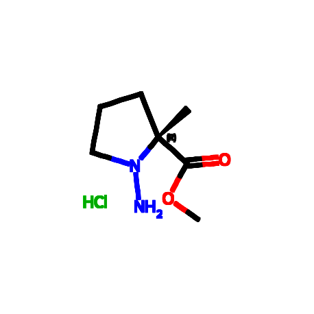 COC(=O)[C@@]1(C)CCCN1N.Cl